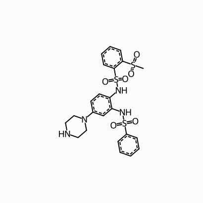 CS(=O)(=O)c1ccccc1S(=O)(=O)Nc1ccc(N2CCNCC2)cc1NS(=O)(=O)c1ccccc1